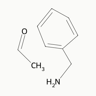 CC=O.NCc1ccccc1